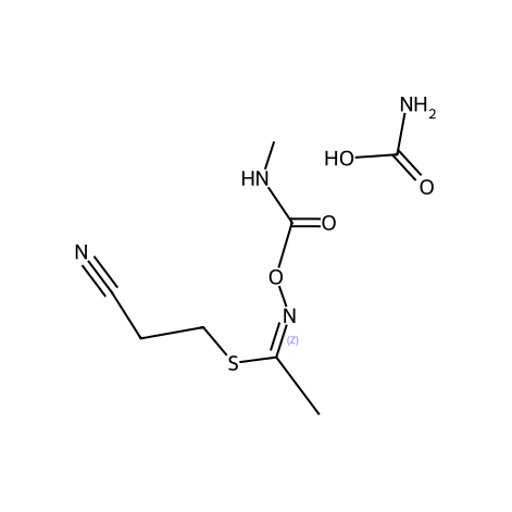 CNC(=O)O/N=C(/C)SCCC#N.NC(=O)O